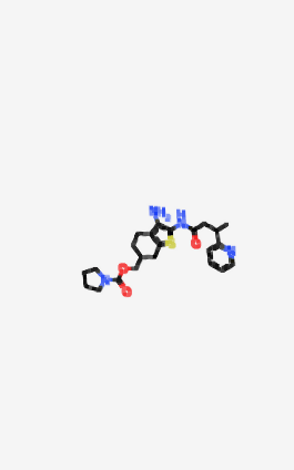 CC(CC(=O)Nc1sc2c(c1N)CCC(COC(=O)N1CCCC1)C2)c1ccccn1